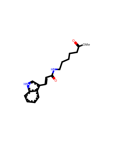 COC(=O)CCCCCNC(=O)/C=C/c1c[nH]c2ccccc12